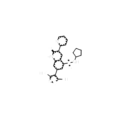 Cc1noc(C)c1-c1cc(S(=O)(=O)NC2CCCC2)c2cc(-c3ccccn3)c(=O)[nH]c2c1